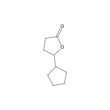 O=C1CCC(C2CCCC2)O1